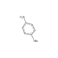 [CH2]CCCc1ccc([N+](=O)[O-])cc1